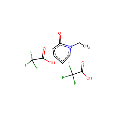 CCn1ccccc1=O.O=C(O)C(F)(F)F.O=C(O)C(F)(F)F